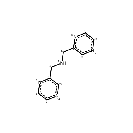 c1cnc(CNCc2cnccn2)cn1